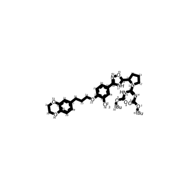 CC(C)(C)OC(=O)/N=C(\NC(=O)OC(C)(C)C)N1CCCC1C1NC(c2ccc(OCCCc3ccc4c(c3)OCCO4)c(C(F)(F)F)c2)=NO1